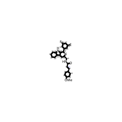 COc1ccc(/C=C/C(=O)NCc2cc3c([nH]c4ccccc43)c(-c3cc(F)cc(F)c3)n2)cc1